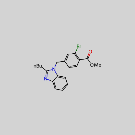 CCCCc1nc2ccccc2n1Cc1ccc(C(=O)OC)c(Br)c1